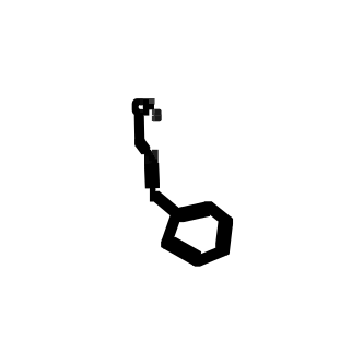 FC(F)(F)C/N=I/c1ccccc1